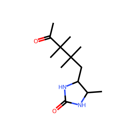 CC(=O)C(C)(C)C(C)(C)CC1NC(=O)NC1C